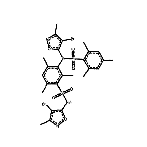 Cc1cc(C)c(S(=O)(=O)N(c2onc(C)c2Br)c2c(C)cc(C)c(S(=O)(=O)Nc3onc(C)c3Br)c2C)c(C)c1